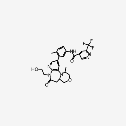 Cc1ccc(NC(=O)c2cnnc(C(F)(F)F)c2)cc1-c1cnc2c(c1)N1C(C)COCC1CC(=O)N2CCO